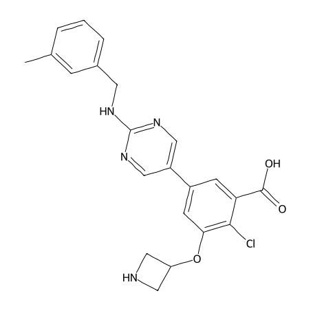 Cc1cccc(CNc2ncc(-c3cc(OC4CNC4)c(Cl)c(C(=O)O)c3)cn2)c1